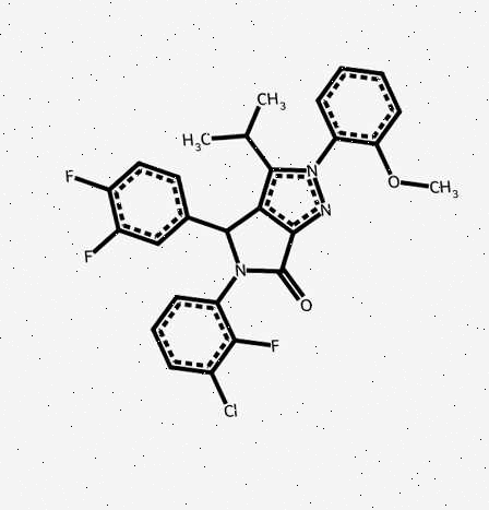 COc1ccccc1-n1nc2c(c1C(C)C)C(c1ccc(F)c(F)c1)N(c1cccc(Cl)c1F)C2=O